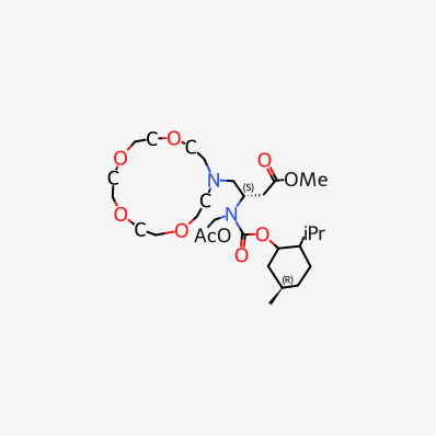 COC(=O)C[C@@H](CN1CCOCCOCCOCCOCC1)N(COC(C)=O)C(=O)OC1C[C@H](C)CCC1C(C)C